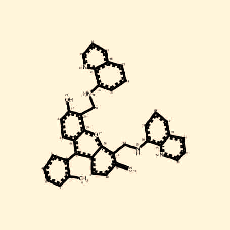 Cc1ccccc1-c1c2ccc(=O)c(CNc3cccc4cccnc34)c-2oc2c(CNc3cccc4cccnc34)c(O)ccc12